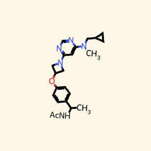 CC(=O)NC(C)c1ccc(OC2CN(c3cc(N(C)CC4CC4)ncn3)C2)cc1